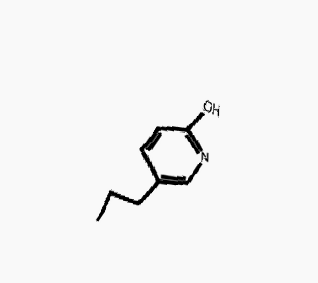 CCCc1ccc(O)nc1